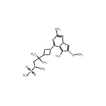 COc1cn2nc(C)nc(N3CC(C(C)(C)CN(C)S(N)(=O)=O)C3)c2c1C